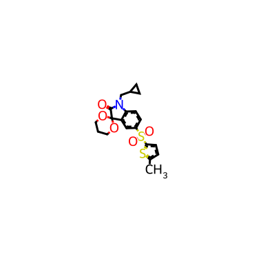 Cc1ccc(S(=O)(=O)c2ccc3c(c2)C2(OCCCO2)C(=O)N3CC2CC2)s1